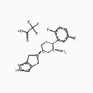 N[C@H]1C[C@@H](N2Cc3c[nH]nc3C2)CSC1c1cc(F)ccc1F.O=C(O)C(F)(F)F